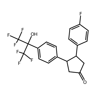 O=C1CC(c2ccc(F)cc2)C(c2ccc(C(O)(C(F)(F)F)C(F)(F)F)cc2)C1